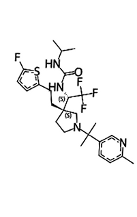 Cc1ccc(C(C)(C)N2CC[C@](CCc3ccc(F)s3)([C@H](NC(=O)NC(C)C)C(F)(F)F)C2)cn1